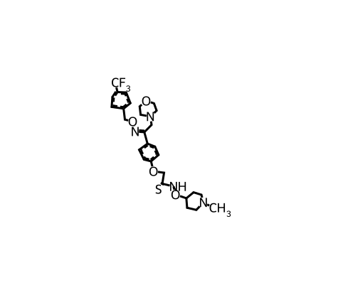 CN1CCC(ONC(=S)COc2ccc(C(CN3CCOCC3)=NOCc3ccc(C(F)(F)F)cc3)cc2)CC1